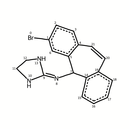 Brc1ccc2c(c1)C(N=C1NCCN1)c1ccccc1C=C2